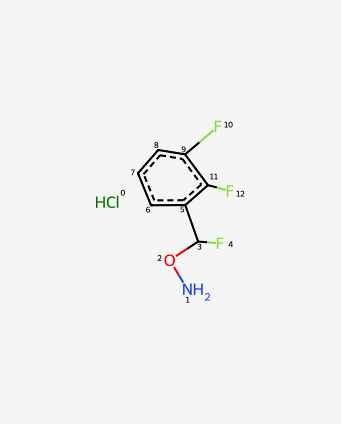 Cl.NOC(F)c1cccc(F)c1F